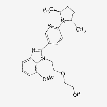 COc1cccc2nc(-c3ccc(N4[C@@H](C)CC[C@@H]4C)nc3)n(CCOCCO)c12